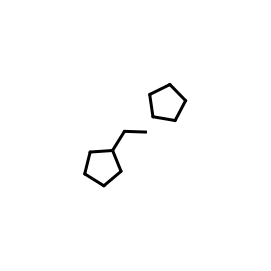 C1CCCC1.CCC1CCCC1